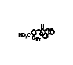 CCCC(NC(=O)Cc1ccc(C(=O)O)c(OC(C)C)c1)c1ccccc1N1CCCCC1